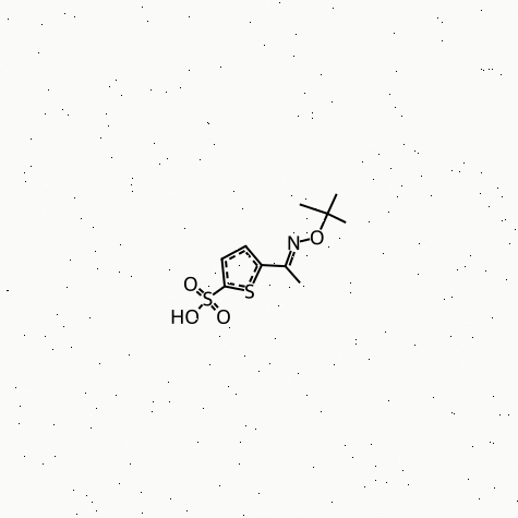 CC(=NOC(C)(C)C)c1ccc(S(=O)(=O)O)s1